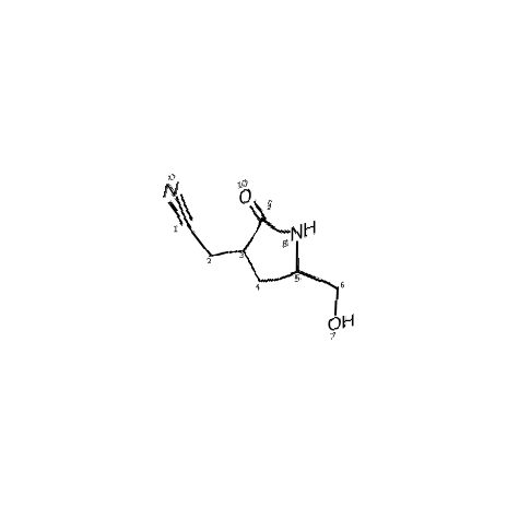 N#CCC1CC(CO)NC1=O